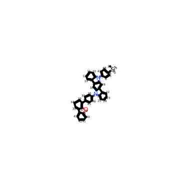 C[Si](C)(C)c1ccc(-n2c3ccccc3c3cc4c(cc32)c2ccccc2n4-c2ccc(-c3cccc4c3oc3ccccc34)cc2)cc1